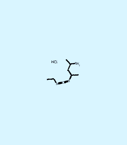 CCN=C=NC(C)CC(C)N.Cl